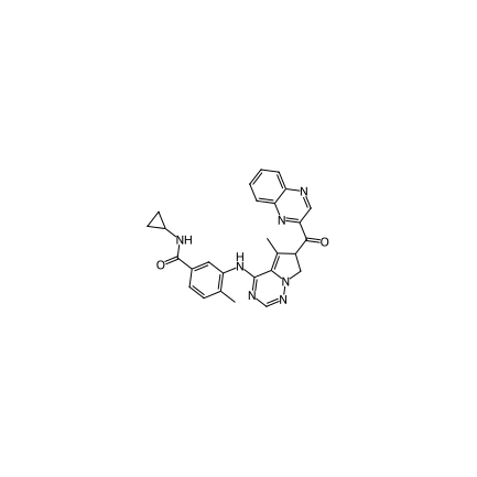 CC1=C2C(Nc3cc(C(=O)NC4CC4)ccc3C)=NC=NN2CC1C(=O)c1cnc2ccccc2n1